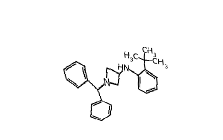 CC(C)(C)c1ccccc1NC1CN(C(c2ccccc2)c2ccccc2)C1